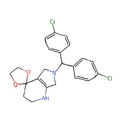 Clc1ccc(C(c2ccc(Cl)cc2)N2CC3=C(C2)C2(CCN3)OCCO2)cc1